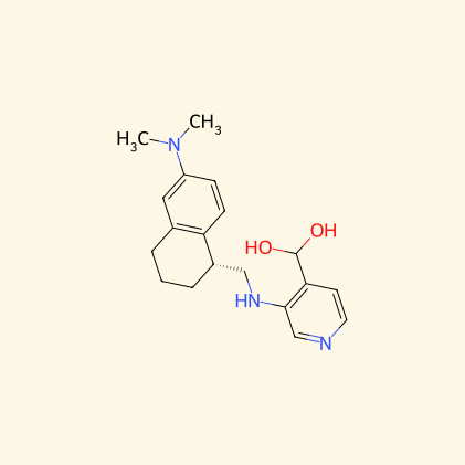 CN(C)c1ccc2c(c1)CCC[C@H]2CNc1cnccc1C(O)O